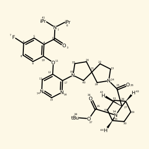 CC(C)N(C(=O)c1cc(F)ccc1Oc1cncnc1N1CCC2(CCN(C(=O)[C@@H]3[C@H]4CC[C@H](CC4)N3C(=O)OC(C)(C)C)C2)C1)C(C)C